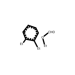 CCOC=O.CCc1ccccc1CC